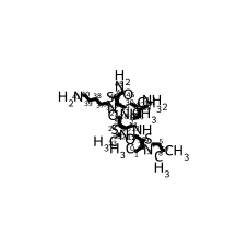 CCc1nc(CC(C)C)sc1C(=O)N[C@@H](CCCCN)c1nc(C)sc1C(=O)N[C@@H](CC(C)C)c1nc(CCCCN)sc1C(N)=O